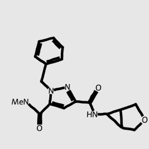 CNC(=O)c1cc(C(=O)NC2C3COCC32)nn1Cc1ccccc1